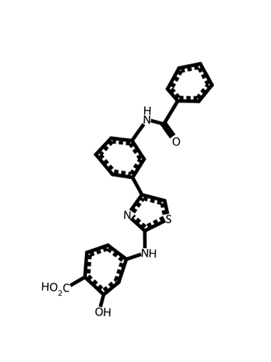 O=C(Nc1cccc(-c2csc(Nc3ccc(C(=O)O)c(O)c3)n2)c1)c1ccccc1